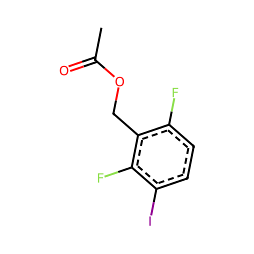 CC(=O)OCc1c(F)ccc(I)c1F